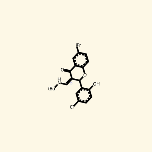 CC(C)c1ccc2c(c1)C(=O)/C(=C\NC(C)(C)C)C(c1cc(Cl)ccc1O)O2